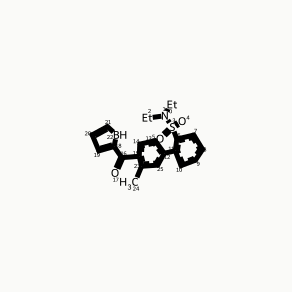 CCN(CC)S(=O)(=O)c1ccccc1-c1ccc(C(=O)C2=CC=CB2)c(C)c1